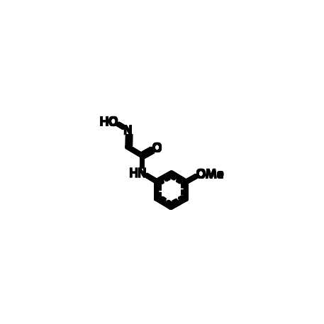 COc1cccc(NC(=O)C=NO)c1